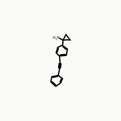 NC1(c2ccc(C#Cc3ccccc3)cc2)CC1